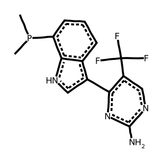 CP(C)c1cccc2c(-c3nc(N)ncc3C(F)(F)F)c[nH]c12